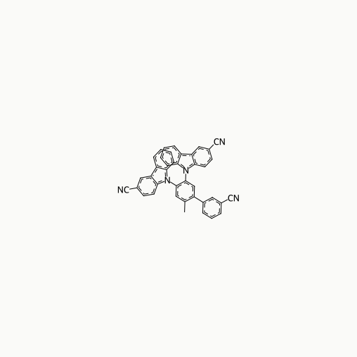 Cc1cc(-n2c3ccccc3c3cc(C#N)ccc32)c(-n2c3ccccc3c3cc(C#N)ccc32)cc1-c1cccc(C#N)c1